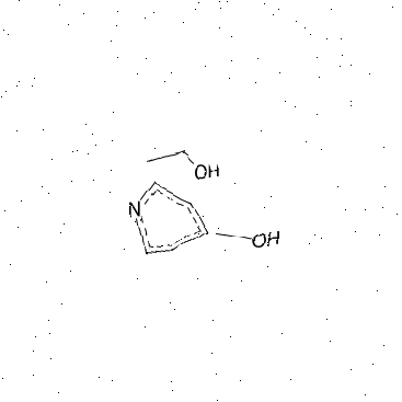 CCO.CO.c1ccncc1